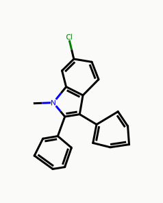 Cn1c(-c2ccccc2)c(-c2ccccc2)c2ccc(Cl)cc21